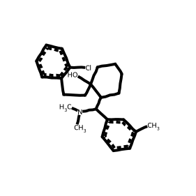 Cc1cccc(C(C2CCCCC2(O)CCc2ccccc2Cl)N(C)C)c1